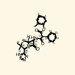 Cc1ccccc1OC(=O)C(C(=O)NC1C(=O)N2C(c3nnn[nH]3)C(C)(C)S[C@H]12)c1ccccc1